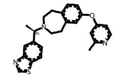 Cc1cc(Oc2ccc3c(c2)CCN([C@H](C)c2ccc4scnc4c2)CC3)ccn1